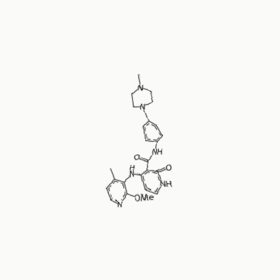 COc1nccc(C)c1Nc1cc[nH]c(=O)c1C(=O)Nc1ccc(N2CCN(C)CC2)cc1